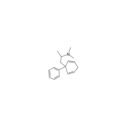 CC(CC1(c2ccccc2)C=CCC=C1)N(C)C